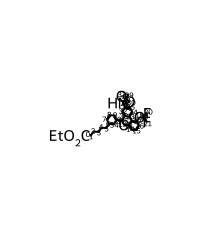 CCOC(=O)CCCCCc1cccc(C2Oc3cccc(OC(F)F)c3-c3ccc(NS(C)(=O)=O)cc32)c1